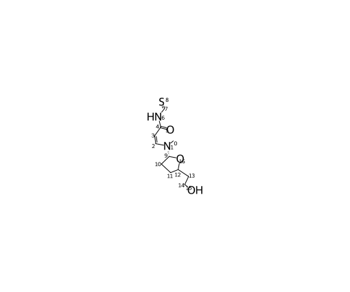 CN(/C=C\C(=O)NC=S)[C@H]1CCC(CCO)O1